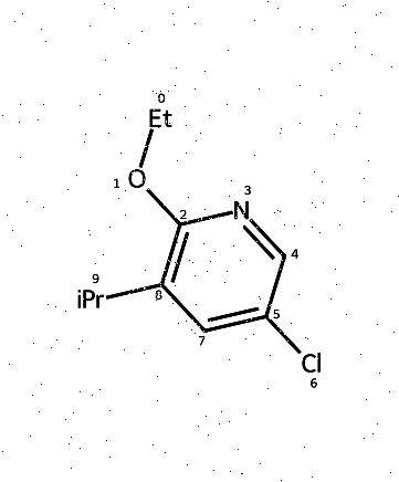 CCOc1ncc(Cl)cc1C(C)C